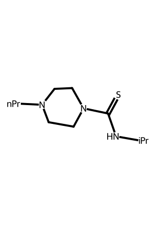 CCCN1CCN(C(=S)NC(C)C)CC1